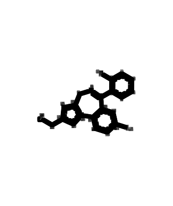 Fc1ccccc1C1=NCc2nc(CCl)cn2-c2ccc(I)cc21